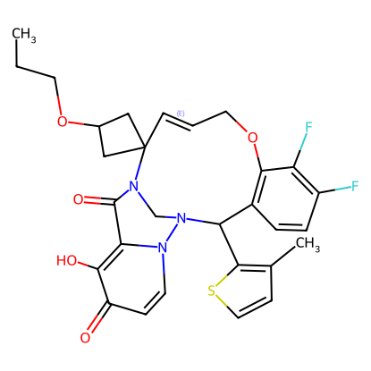 CCCOC1CC2(/C=C/COc3c(ccc(F)c3F)C(c3sccc3C)N3CN2C(=O)c2c(O)c(=O)ccn23)C1